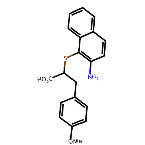 COc1ccc(CC(Sc2c(N)ccc3ccccc23)C(=O)O)cc1